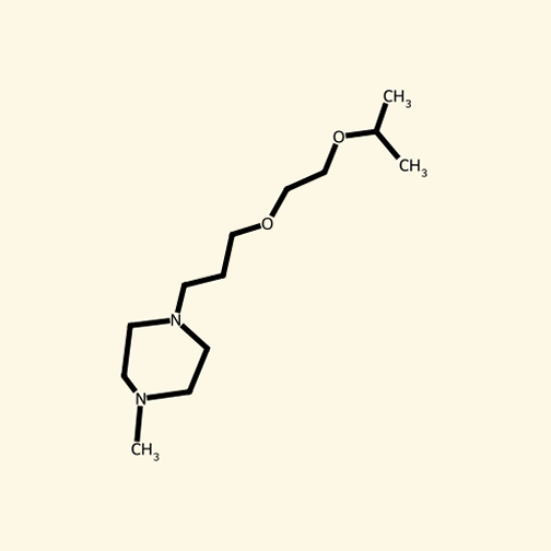 CC(C)OCCOCCCN1CCN(C)CC1